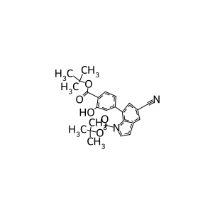 CC(C)(C)OC(=O)c1ccc(-c2cc(C#N)cc3ccn(C(=O)OC(C)(C)C)c23)cc1O